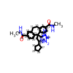 CNC(=O)c1ccc2c(c1)CCc1cc(C(=O)NC)ccc1C2(C[C@H](N)C1CCCC1)c1nnn[nH]1